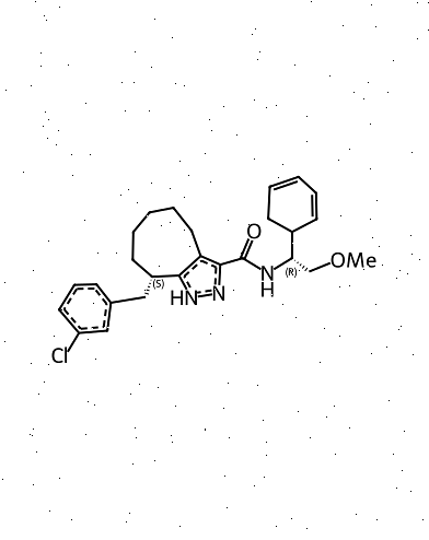 COC[C@H](NC(=O)c1n[nH]c2c1CCCCC[C@H]2Cc1cccc(Cl)c1)C1C=CC=CC1